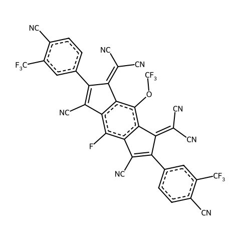 N#CC(C#N)=C1C(c2ccc(C#N)c(C(F)(F)F)c2)=C(C#N)c2c(F)c3c(c(OC(F)(F)F)c21)C(=C(C#N)C#N)C(c1ccc(C#N)c(C(F)(F)F)c1)=C3C#N